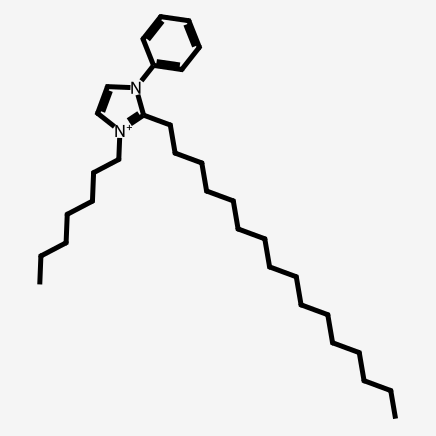 CCCCCCCCCCCCCCCCc1n(-c2ccccc2)cc[n+]1CCCCCCC